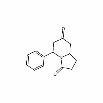 O=C1CC2CCC(=O)N2C(c2ccccc2)C1